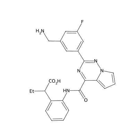 CCC(C(=O)O)c1ccccc1NC(=O)c1nc(-c2cc(F)cc(CN)c2)nn2cccc12